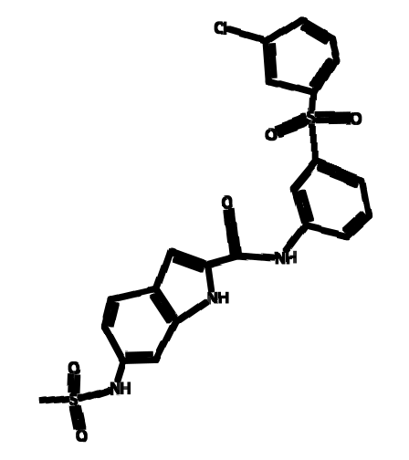 CS(=O)(=O)Nc1ccc2cc(C(=O)Nc3cccc(S(=O)(=O)c4cccc(Cl)c4)c3)[nH]c2c1